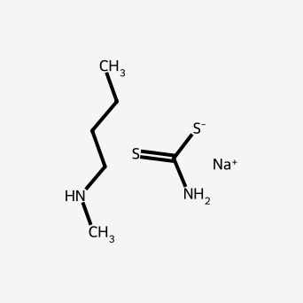 CCCCNC.NC(=S)[S-].[Na+]